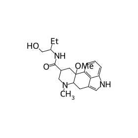 CCC(CO)NC(=O)C1CN(C)C2Cc3c[nH]c4cccc(c34)C2(OC)C1